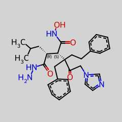 CC(C)C[C@@H](C(=O)NN)[C@H](C(=O)NO)C(CCc1ccccc1)(Cc1ccccc1)C(=O)Cn1ccnc1